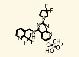 CS(=O)(=O)O.FC1(F)CCN(c2nc(NCc3cccnc3C(F)(F)F)c3cccnc3n2)C1